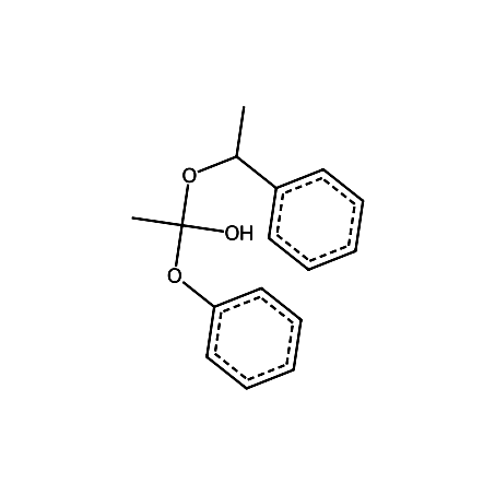 CC(OC(C)(O)Oc1ccccc1)c1ccccc1